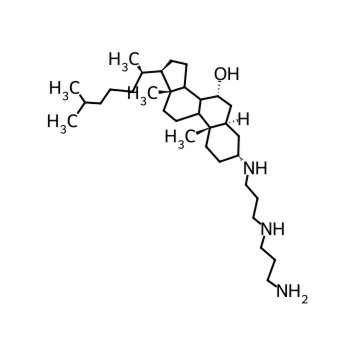 CC(C)CCC[C@@H](C)[C@H]1CCC2C3C(CC[C@@]21C)[C@@]1(C)CC[C@@H](NCCCNCCCN)C[C@@H]1C[C@H]3O